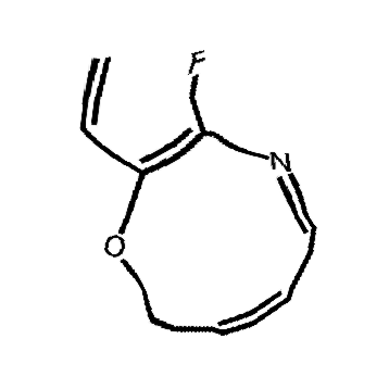 C=C/C1=C(F)/N=C\C=C/CO1